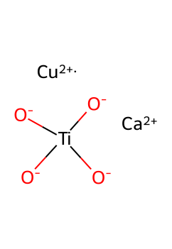 [Ca+2].[Cu+2].[O-][Ti]([O-])([O-])[O-]